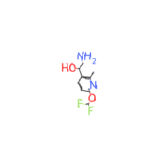 Cc1nc(OC(F)F)ccc1C(O)CN